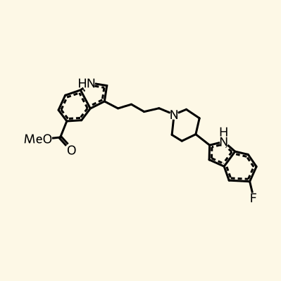 COC(=O)c1ccc2[nH]cc(CCCCN3CCC(c4cc5cc(F)ccc5[nH]4)CC3)c2c1